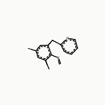 C=Nc1c(C)cc(C)cc1Cc1ccccn1